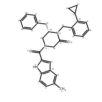 Cc1ccc2[nH]c(C(=O)N3CC(=O)N(Cc4ccccc4C4CC4)[C@@H](Cc4ccccc4)C3)cc2c1